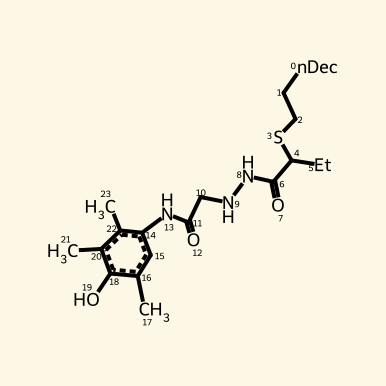 CCCCCCCCCCCCSC(CC)C(=O)NNCC(=O)Nc1cc(C)c(O)c(C)c1C